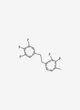 Cc1ccc(CCc2cc(F)c(F)c(F)c2)c(F)c1F